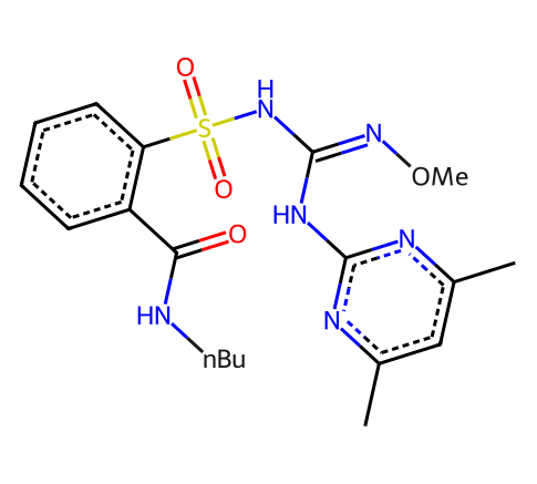 CCCCNC(=O)c1ccccc1S(=O)(=O)NC(=NOC)Nc1nc(C)cc(C)n1